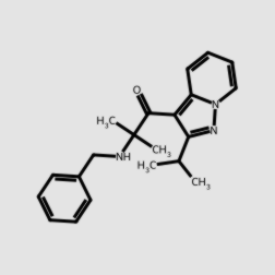 CC(C)c1nn2ccccc2c1C(=O)C(C)(C)NCc1ccccc1